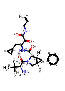 C=CCNC(=O)C(=O)C(CC1CC1)NC(=O)[C@@H]1[C@@H]2[C@H](CN1C(=O)[C@@H](N)C(C)(C)C)[C@H]2c1ccccc1